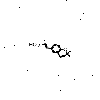 CC1(C)C=Cc2cc(/C=C/C(=O)O)ccc2O1